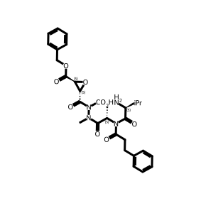 CC(C)[C@H](N)C(=O)N(C(=O)CCc1ccccc1)[C@@H](C)C(=O)N(C)N(C(=O)O)C(=O)[C@H]1O[C@@H]1C(=O)OCc1ccccc1